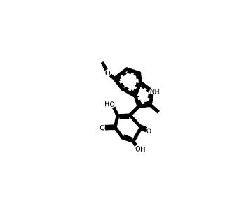 COc1ccc2[nH]c(C)c(C3=C(O)C(=O)C=C(O)C3=O)c2c1